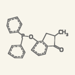 CC1Cc2c(OP(c3ccccc3)c3ccccc3)cccc2C1=O